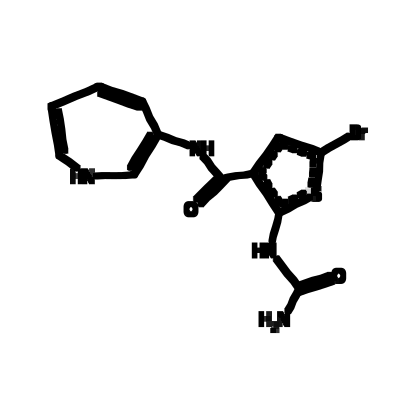 NC(=O)Nc1sc(Br)cc1C(=O)NC1=CNC=CC=C1